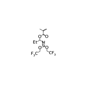 C=C(C)C(=O)OC(CC)C[SiH](OCC(F)(F)F)OCC(F)(F)F